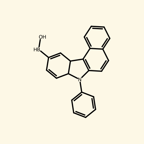 OBC1=CC2c3c(ccc4ccccc34)N(c3ccccc3)C2C=C1